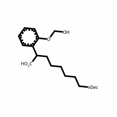 CCCCCCCCCCCCCCCCC(C(=O)O)c1ccccc1OCO